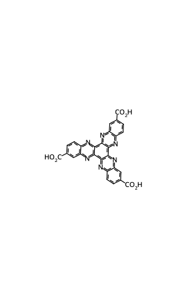 O=C(O)c1ccc2nc3c4nc5cc(C(=O)O)ccc5nc4c4nc5cc(C(=O)O)ccc5nc4c3nc2c1